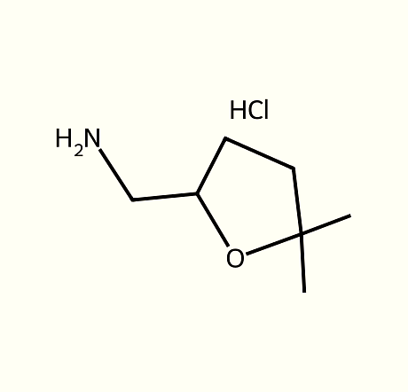 CC1(C)CCC(CN)O1.Cl